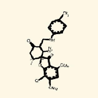 COc1cc(OC)c2c(c1Cl)O[C@]1(C2=O)C(N)C(CNc2ccc(C(F)(F)F)cc2)C(=O)C[C@H]1C